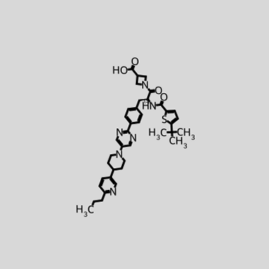 CCCc1ccc(C2CCN(c3cnc(-c4ccc(C[C@H](NC(=O)c5ccc(C(C)(C)C)s5)C(=O)N5CC(C(=O)O)C5)cc4)nc3)CC2)cn1